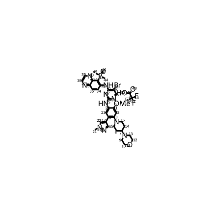 COc1cc(N2CCC(N3CCOCC3)CC2)c(-c2cnn(C)c2)cc1Nc1ncc(Br)c(Nc2ccc3nccnc3c2P(C)(C)=O)n1.O=C(O)C(F)(F)F